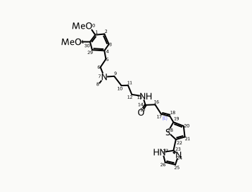 COc1ccc(CCN(C)CCCCNC(=O)C/C=C/c2ccc(-c3ncc[nH]3)s2)cc1OC